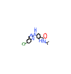 CC(C)NC(=O)c1ccc(Nc2ncc3cc(Cl)ccc3n2)cc1